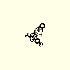 COc1ccc(S(=O)(=O)N(CC(C)C)C[C@H](O)CNCc2ccccc2)cc1